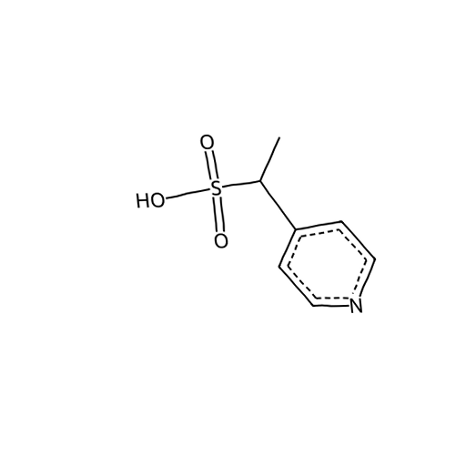 CC(c1ccncc1)S(=O)(=O)O